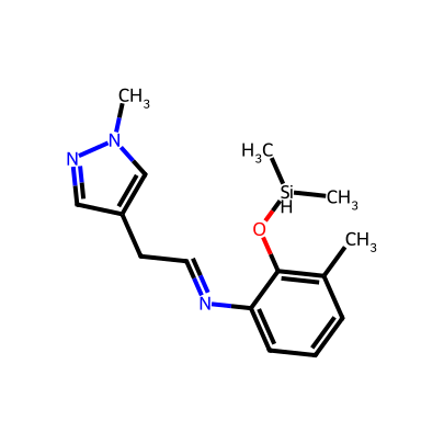 Cc1cccc(N=CCc2cnn(C)c2)c1O[SiH](C)C